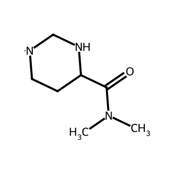 CN(C)C(=O)C1CC[N]CN1